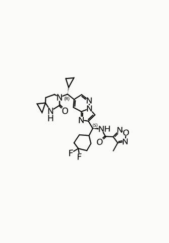 Cc1nonc1C(=O)N[C@H](c1cn2ncc([C@@H](C3CC3)N3CCC4(CC4)NC3=O)cc2n1)C1CCC(F)(F)CC1